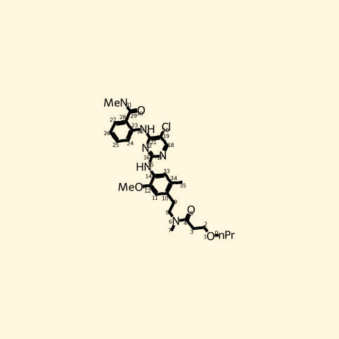 CCCOCCC(=O)N(C)CCc1cc(OC)c(Nc2ncc(Cl)c(Nc3ccccc3C(=O)NC)n2)cc1C